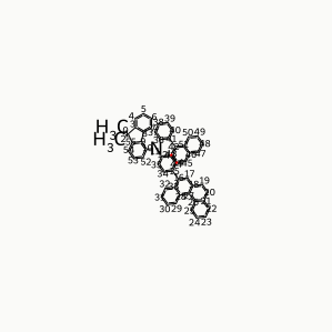 CC1(C)c2ccccc2-c2c(N(c3ccc(-c4cc5ccc6ccccc6c5c5ccccc45)cc3)c3ccccc3-c3cccc4ccccc34)cccc21